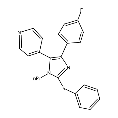 CCCn1c(Sc2ccccc2)nc(-c2ccc(F)cc2)c1-c1ccncc1